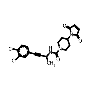 CC(C#Cc1ccc(Cl)c(Cl)c1)NC(=O)N1CCC(N2C(=O)C=CC2=O)CC1